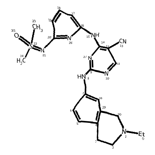 CCN1CCc2ccc(Nc3ncc(C#N)c(Nc4cccc(N=S(C)(C)=O)n4)n3)cc2C1